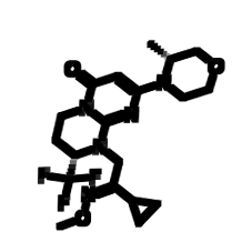 CON=C(CN1c2nc(N3CCOC[C@H]3C)cc(=O)n2CC[C@H]1C(F)(F)F)C1CC1